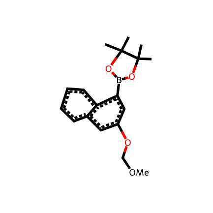 COCOc1cc(B2OC(C)(C)C(C)(C)O2)c2ccccc2c1